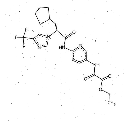 CCOC(=O)C(=O)Nc1ccc(NC(=O)[C@H](CC2CCCC2)n2cnc(C(F)(F)F)c2)nc1